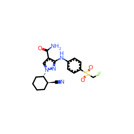 N#C[C@H]1CCCC[C@@H]1n1cc(C(N)=O)c(Nc2ccc(S(=O)(=O)CF)cc2)n1